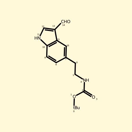 CC(C)(C)OC(=O)NCCc1ccc2[nH]cc(C=O)c2c1